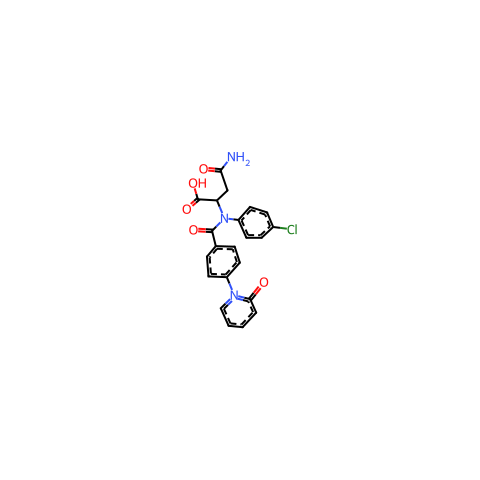 NC(=O)CC(C(=O)O)N(C(=O)c1ccc(-n2ccccc2=O)cc1)c1ccc(Cl)cc1